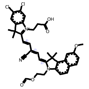 COc1ccc2ccc3c(c2c1)C(C)(C)\C(=C/C=C(C#N)/C=C/C1=[N+](CCC(=O)O)c2cc(Cl)c(Cl)cc2C1(C)C)N3CCOC=O